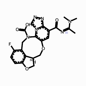 C/C(=N/C(=O)c1cc2c(n3cnnc13)N(C(=O)O)Cc1c(F)ccc3c1[C@@H](CO3)CO2)N(C)C